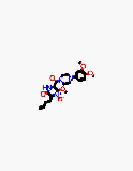 C=CCCc1c(=O)[nH]c(C(=O)N2CCN(c3ccc(OC)c(OC)c3)CC2)c(OC)[n+]1[O-]